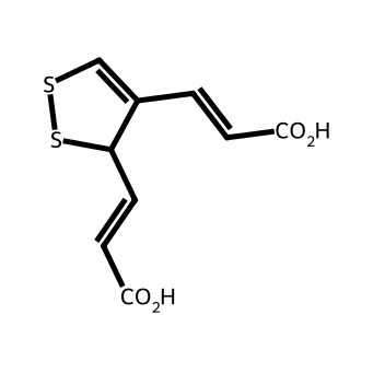 O=C(O)C=CC1=CSSC1C=CC(=O)O